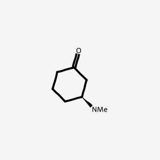 CN[C@H]1CCCC(=O)C1